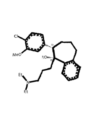 CCN(CC)CCC[C@]1(O)c2ccccc2CCC[C@H]1c1ccc(Cl)c(OC)c1